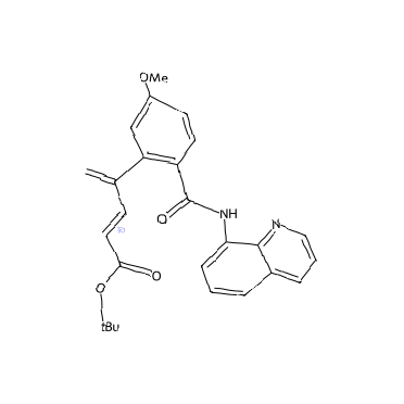 C=C(/C=C/C(=O)OC(C)(C)C)c1cc(OC)ccc1C(=O)Nc1cccc2cccnc12